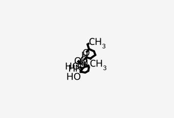 CCC1CCC(C)C(OC2C3CCC(O)(NC(=O)N3)C2O)O1